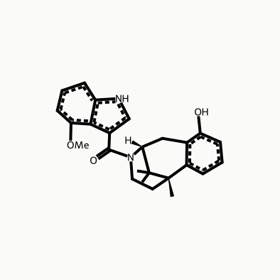 COc1cccc2[nH]cc(C(=O)N3CC[C@@]4(C)c5cccc(O)c5C[C@@H]3C4(C)C)c12